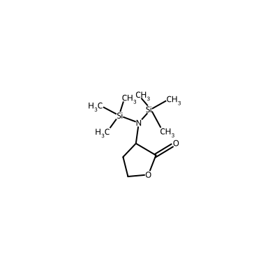 C[Si](C)(C)N(C1CCOC1=O)[Si](C)(C)C